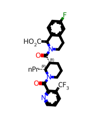 CCC[C@@H]1[C@H](C(=O)N2CCc3cc(F)ccc3C2C(=O)O)CCCN1C(=O)c1ncccc1C(F)(F)F